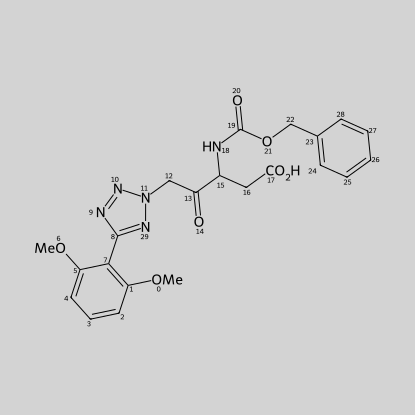 COc1cccc(OC)c1-c1nnn(CC(=O)C(CC(=O)O)NC(=O)OCc2ccccc2)n1